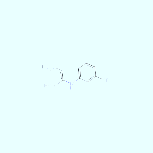 O=C(O)C=C(Nc1cccc(C(F)(F)F)c1)C(=O)O